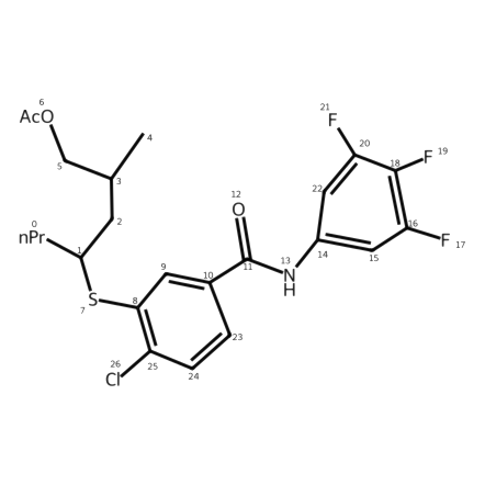 CCCC(CC(C)COC(C)=O)Sc1cc(C(=O)Nc2cc(F)c(F)c(F)c2)ccc1Cl